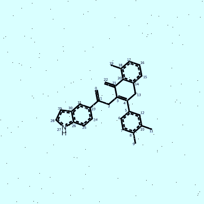 C=C(CC1=C(c2ccc(C)c(C)c2)Cc2cccc(C)c2C1=C)c1ccc2[nH]ccc2c1